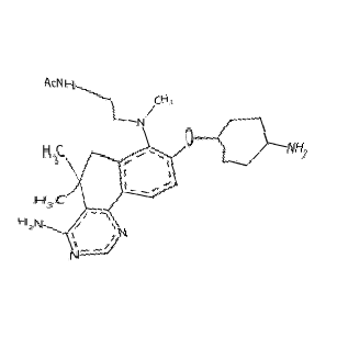 CC(=O)NCCN(C)c1c(OC2CCC(N)CC2)ccc2c1CC(C)(C)c1c(N)ncnc1-2